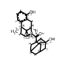 CC1(C)[C@H]2Cc3c(O)cccc3[C@]1(C)CCN2C(=O)C12CC3CC(CC(O)(C3)C1)C2